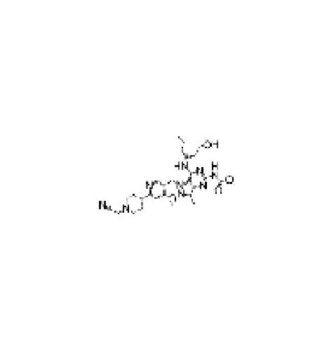 CCC[C@@H](CCO)Nc1nc(NC(=O)OC)nc2c(C)nn(Cc3cnc(C4CCN(CC#N)CC4)cc3OC)c12